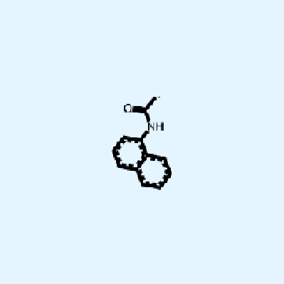 [CH2]C(=O)Nc1cccc2ccccc12